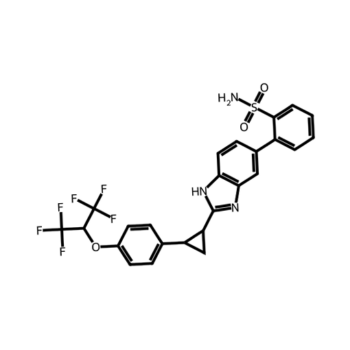 NS(=O)(=O)c1ccccc1-c1ccc2[nH]c(C3CC3c3ccc(OC(C(F)(F)F)C(F)(F)F)cc3)nc2c1